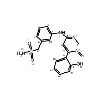 C=N/C(=C\C(=N/C)Nc1cccc(CS(N)(=O)=O)c1)c1ccccc1O